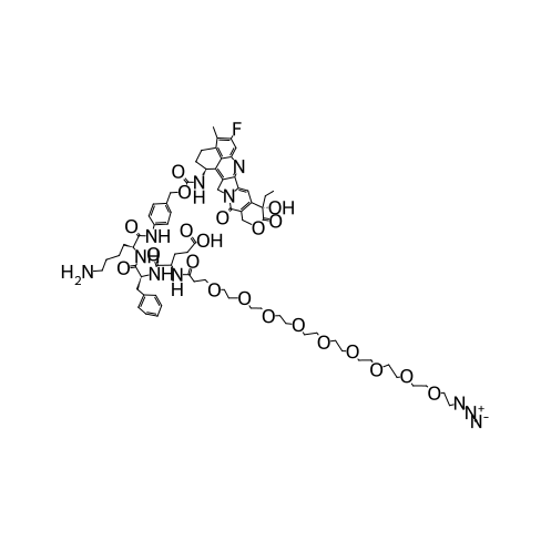 CC[C@@]1(O)C(=O)OCc2c1cc1n(c2=O)Cc2c-1nc1cc(F)c(C)c3c1c2[C@@H](NC(=O)OCc1ccc(NC(=O)[C@H](CCCCN)NC(=O)[C@H](Cc2ccccc2)NC(=O)C(CCC(=O)O)NC(=O)CCOCCOCCOCCOCCOCCOCCOCCOCCOCCN=[N+]=[N-])cc1)CC3